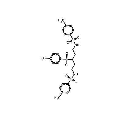 Cc1ccc(S(=O)(=O)NCCC(CCNS(=O)(=O)c2ccc(C)cc2)S(=O)(=O)c2ccc(C)cc2)cc1